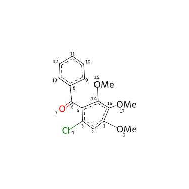 COc1cc(Cl)c(C(=O)c2ccccc2)c(OC)c1OC